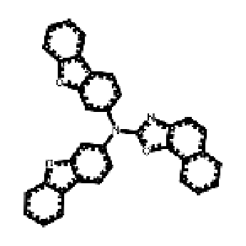 c1ccc2c(c1)ccc1nc(N(c3ccc4c(c3)oc3ccccc34)c3ccc4c(c3)oc3ccccc34)oc12